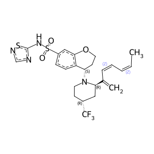 C=C(/C=C\C=C/C)[C@H]1C[C@H](C(F)(F)F)CCN1[C@H]1CCOc2cc(S(=O)(=O)Nc3ncns3)ccc21